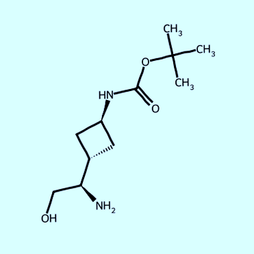 CC(C)(C)OC(=O)N[C@H]1C[C@H]([C@@H](N)CO)C1